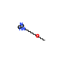 CCCCCCOCCCCCCCCCCNc1ccnc2ccccc12